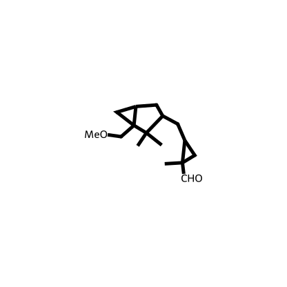 COCC12CC1CC(CC1CC1(C)C=O)C2(C)C